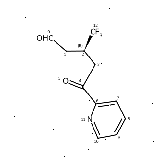 O=CC[C@H](CC(=O)c1ccccn1)C(F)(F)F